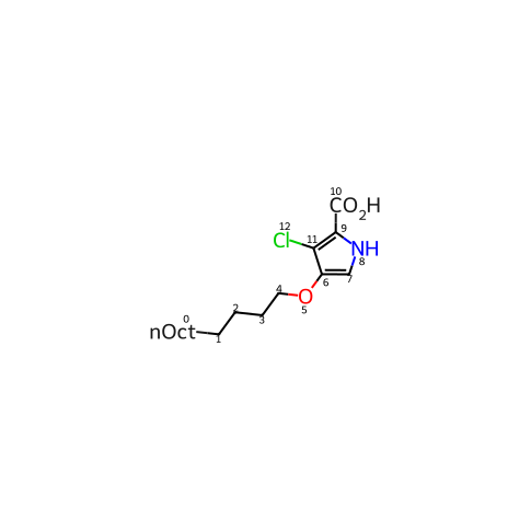 CCCCCCCCCCCCOc1c[nH]c(C(=O)O)c1Cl